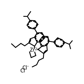 CCCCC1=Cc2c(-c3ccc(C(C)C)cc3)cccc2[CH]1[Zr+2]1([CH]2C(CCCC)=Cc3c(-c4ccc(C(C)C)cc4)cccc32)[CH2]C[CH2]1.[Cl-].[Cl-]